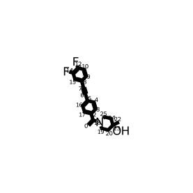 C=C(c1ccc(C#Cc2ccc(F)c(F)c2)cc1)N1CCC(C)(O)CC1